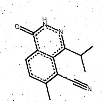 Cc1ccc2c(=O)[nH]nc(C(C)C)c2c1C#N